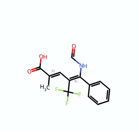 C/C(=C\C(=C(/NC=O)c1ccccc1)C(F)(F)F)C(=O)O